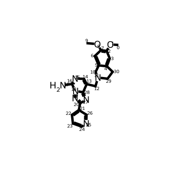 COc1cc2c(cc1OC)CN(Cc1cnc(N)n3nc(-c4cccnc4)nc13)CC2